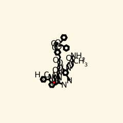 CCN(c1nc(N(C(=O)OCOC(=O)Cc2ccc(OP(=O)(OCc3ccccc3)OCc3ccccc3)cc2)c2cc(C#N)cc(N3CCN([C@@H](C)C(N)=O)CC3)c2Cl)nn2c(C#N)cnc12)C(c1ccccc1)c1ccccc1